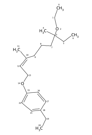 CCOC(C)(CC)CCCC(C)=CCOc1ccc(CC)cc1